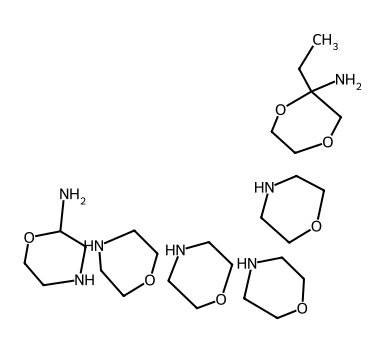 C1COCCN1.C1COCCN1.C1COCCN1.C1COCCN1.CCC1(N)COCCO1.NC1CNCCO1